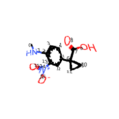 CNc1ccc(C2(C(=O)O)CC2)cc1[N+](=O)[O-]